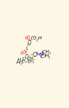 CN(C)c1ccc(CSc2cc(C(O)C=Cc3ccc(C(=O)O)c(O)c3)cc3c2C(C)(C)CCC3(C)C)cc1